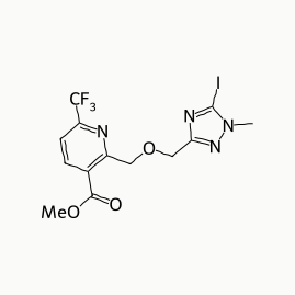 COC(=O)c1ccc(C(F)(F)F)nc1COCc1nc(I)n(C)n1